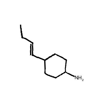 CC/C=C/C1CCC(N)CC1